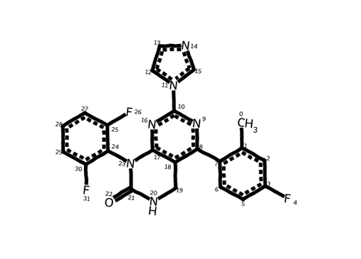 Cc1cc(F)ccc1-c1nc(-n2ccnc2)nc2c1CNC(=O)N2c1c(F)cccc1F